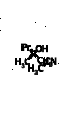 CC#N.CC(C)C(C)(C)O